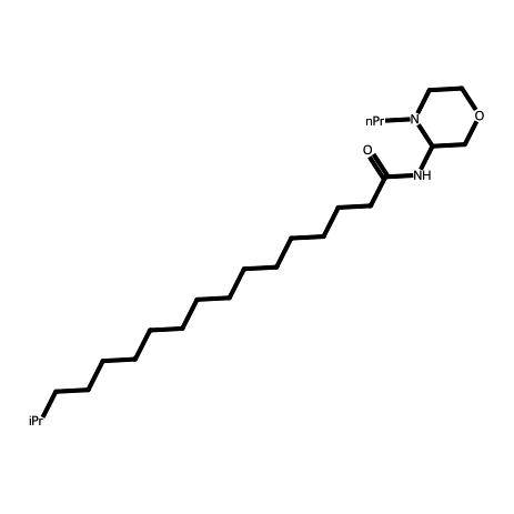 CCCN1CCOCC1NC(=O)CCCCCCCCCCCCCCC(C)C